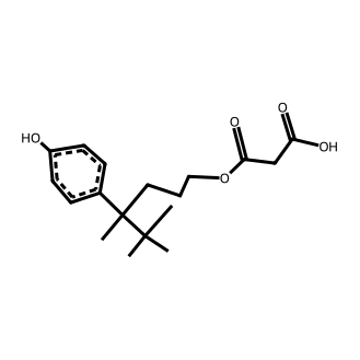 CC(C)(C)C(C)(CCCOC(=O)CC(=O)O)c1ccc(O)cc1